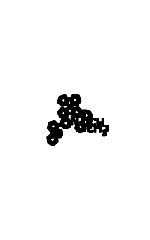 CC1(C)c2ccccc2-c2c(N(c3ccc(-c4cccc5c4oc4ccccc45)cc3)c3cccc4c3-c3ccccc3C4(c3ccccc3)c3ccccc3)cccc21